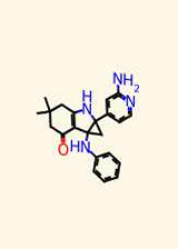 CC1(C)CC(=O)C2=C(C1)NC1(c3ccnc(N)c3)CC21Nc1ccccc1